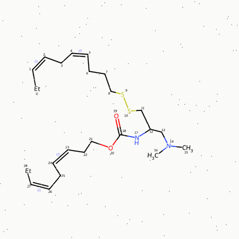 CC/C=C\C/C=C\CCCSSCC(CN(C)C)NC(=O)OCC/C=C\C/C=C\CC